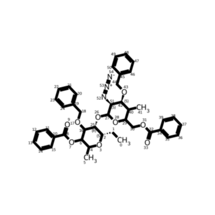 CC[C@@H]1OC(C)C(OC(=O)c2ccccc2)C(OCc2ccccc2)[C@@H]1OC1OC(COC(=O)c2ccccc2)C(C)[C@H](OCc2ccccc2)[C@@H]1N=[N+]=[N-]